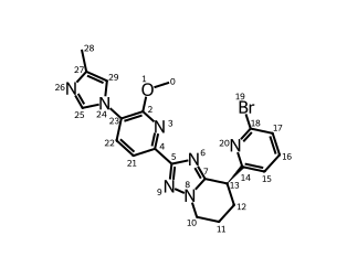 COc1nc(-c2nc3n(n2)CCC[C@@H]3c2cccc(Br)n2)ccc1-n1cnc(C)c1